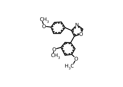 COc1ccc(-c2ncoc2-c2cc(OC)cc(OC)c2)cc1